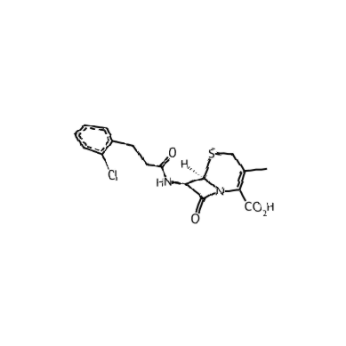 CC1=C(C(=O)O)N2C(=O)[C@@H](NC(=O)CCc3ccccc3Cl)[C@H]2SC1